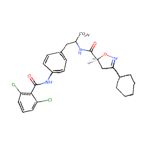 C[C@@]1(C(=O)NC(Cc2ccc(NC(=O)c3c(Cl)cccc3Cl)cc2)C(=O)O)CC(C2CCCCC2)=NO1